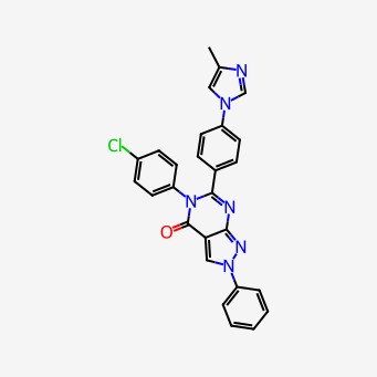 Cc1cn(-c2ccc(-c3nc4nn(-c5ccccc5)cc4c(=O)n3-c3ccc(Cl)cc3)cc2)cn1